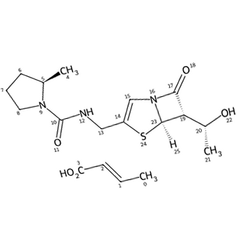 CC=CC(=O)O.C[C@@H]1CCCN1C(=O)NCC1=CN2C(=O)[C@H]([C@@H](C)O)[C@H]2S1